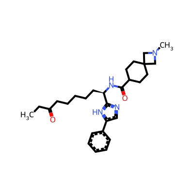 CCC(=O)CCCCC[C@@H](NC(=O)C1CCC2(CC1)CN(C)C2)c1ncc(-c2ccccc2)[nH]1